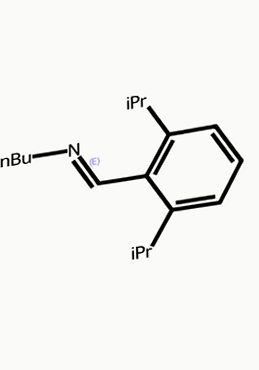 CCCC/N=C/c1c(C(C)C)cccc1C(C)C